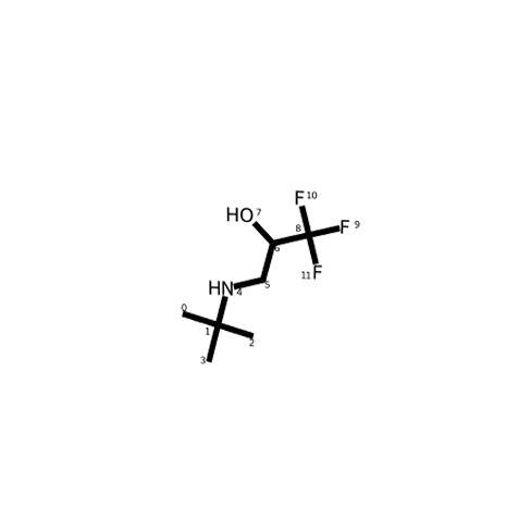 CC(C)(C)NCC(O)C(F)(F)F